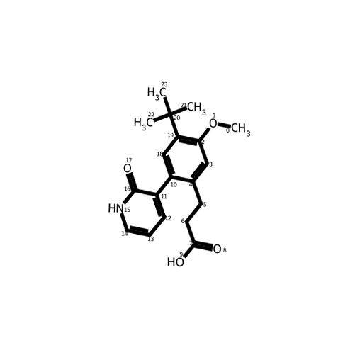 COc1cc(CCC(=O)O)c(-c2ccc[nH]c2=O)cc1C(C)(C)C